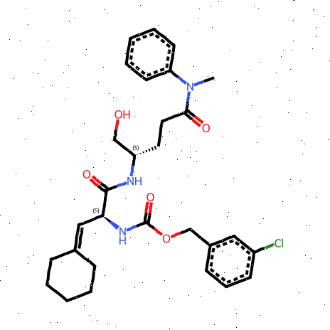 CN(C(=O)CC[C@@H](CO)NC(=O)[C@H](C=C1CCCCC1)NC(=O)OCc1cccc(Cl)c1)c1ccccc1